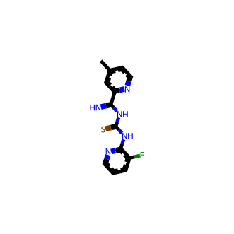 Cc1ccnc(C(=N)NC(=S)Nc2ncccc2F)c1